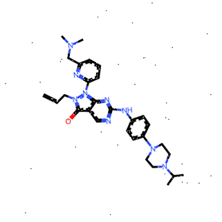 C=CCn1c(=O)c2cnc(Nc3ccc(N4CCN(C(C)C)CC4)cc3)nc2n1-c1cccc(CN(C)C)n1